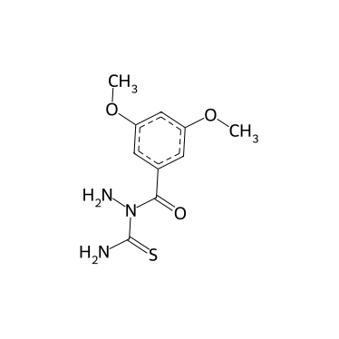 COc1cc(OC)cc(C(=O)N(N)C(N)=S)c1